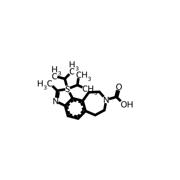 CC1=Nc2ccc3c(c2S1(C(C)C)C(C)C)CCN(C(=O)O)CC3